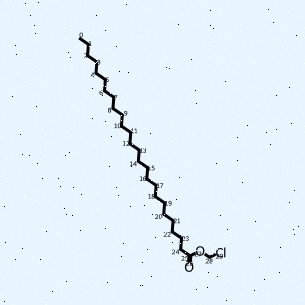 CCCCCCCCCCCCCCCCCCCCCCCCCC(=O)OCCl